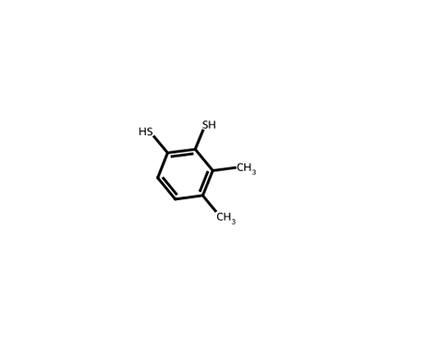 Cc1ccc(S)c(S)c1C